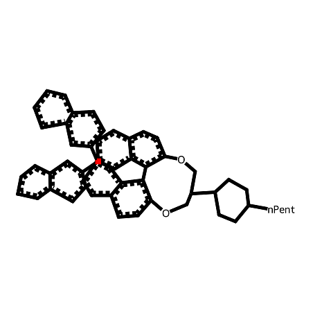 CCCCCC1CCC(C2COc3ccc4ccc(-c5ccc6ccccc6c5)cc4c3-c3c(ccc4ccc(-c5ccc6ccccc6c5)cc34)OC2)CC1